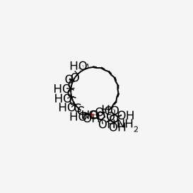 CC1O[C@@H](O[C@H]2/C=C/C=C/C=C/C=C/C=C/C=C/C=C/[C@H](C)[C@@H](O)[C@@H](C)[C@H](C)OC(=O)C[C@H](O)C[C@H](O)C[C@H](O)CC[C@@H](O)[C@H](O)C[C@]3(O)C[C@H](O)[C@@H](C)[C@H](C2)O3)C(O)C(N)[C@@H]1O